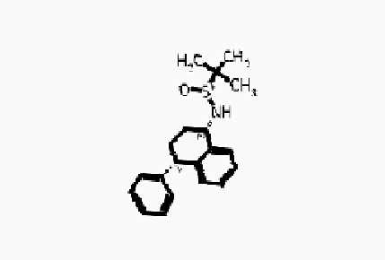 CC(C)(C)[S+]([O-])N[C@H]1CC[C@@H](c2ccccc2)c2ccccc21